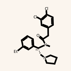 CCc1cccc([C@@H](CN2CCCC2)N(C)C(=O)Cc2ccc(Cl)c(Cl)c2)c1